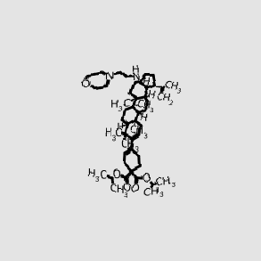 C=C(C)[C@@H]1CC[C@]2(NCCN3CCOCC3)CC[C@]3(C)[C@H](CC[C@@H]4[C@@]5(C)CC=C(C6=CCC(C(=O)OC(C)C)(C(=O)OC(C)C)CC6)C(C)(C)[C@@H]5CC[C@]43C)[C@@H]12